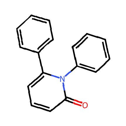 O=c1cccc(-c2ccccc2)n1-c1ccccc1